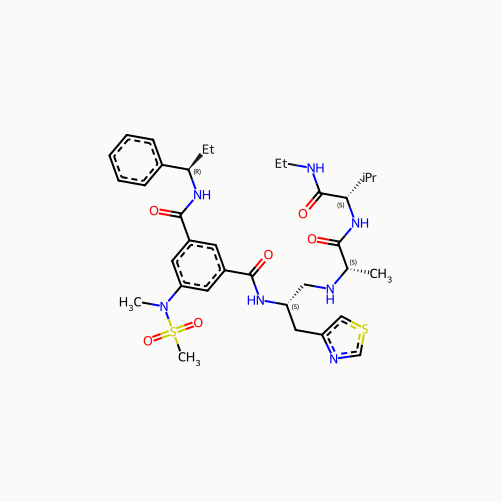 CCNC(=O)[C@@H](NC(=O)[C@H](C)NC[C@H](Cc1cscn1)NC(=O)c1cc(C(=O)N[C@H](CC)c2ccccc2)cc(N(C)S(C)(=O)=O)c1)C(C)C